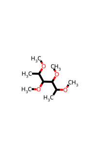 COC(C)C(OC)C(OC)C(C)OC